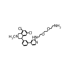 CN1Cc2c(Cl)cc(Cl)cc2C(c2cccc(-c3ccnc(NCCOCCOCCN)c3)c2)C1